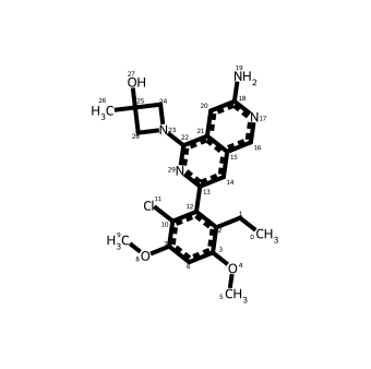 CCc1c(OC)cc(OC)c(Cl)c1-c1cc2cnc(N)cc2c(N2CC(C)(O)C2)n1